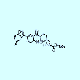 CC(C)(C)OC(=O)NCC1CCC(Nc2nc(-c3cnc4ccc(F)cn34)ncc2[N+](=O)[O-])CC1